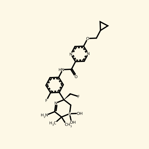 CC1(C)C(N)=N[C@](CF)(c2cc(NC(=O)c3cnc(OCC4CC4)cn3)ccc2F)CS1(O)O